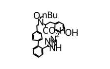 CCCCC(=O)N(Cc1ccc(-c2ccccc2-c2nnn[nH]2)cc1)C(Cc1ccc(O)cc1)C(=O)O